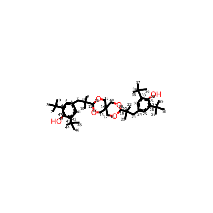 CC(C)(C)c1cc(CC(C)(C)C2OCC3(CO2)COC(C(C)(C)Cc2cc(C(C)(C)C)c(O)c(C(C)(C)C)c2)OC3)cc(C(C)(C)C)c1O